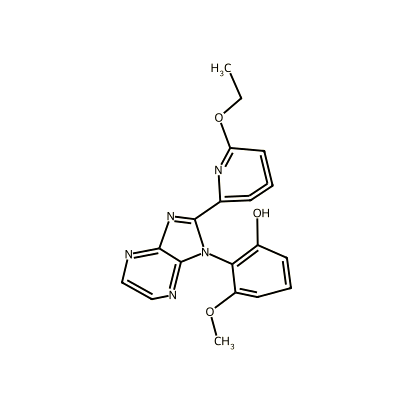 CCOC1=NC(c2nc3nccnc3n2-c2c(O)cccc2OC)=C=C=C1